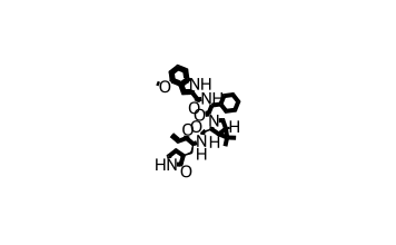 C=CC(=O)[C@H](C[C@@H]1CCNC1=O)NC(=O)[C@@H]1[C@@H]2[C@H](CN1C(=O)C(NC(=O)c1cc3c(OC)cccc3[nH]1)C1CCCCC1)C2(C)C